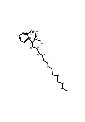 CCCCCCCCCCCCCCC(c1ccccc1O)[N+](=O)[O-]